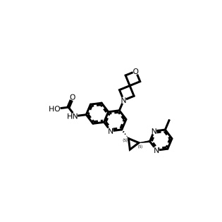 Cc1ccnc([C@H]2C[C@@H]2c2cc(N3CC4(COC4)C3)c3ccc(NC(=O)O)cc3n2)n1